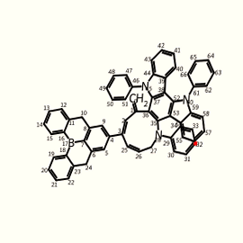 C=C1/C=C(c2cc3c4c(c2)Cc2ccccc2B4c2ccccc2C3)\C=C/CN(c2ccccc2)c2c1c1c(c3ccccc3n1-c1ccccc1)c1c2c2ccccc2n1-c1ccccc1